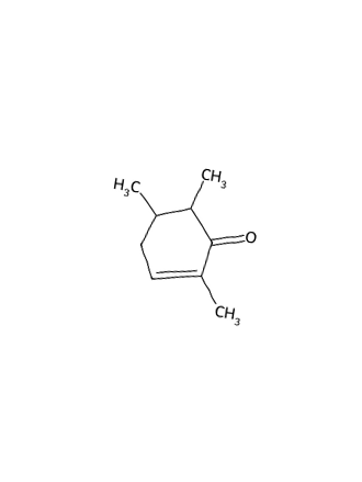 CC1=CCC(C)C(C)C1=O